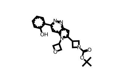 CC(C)(C)OC(=O)N1CC(c2cc3nnc(-c4ccccc4O)cc3n2C2COC2)C1